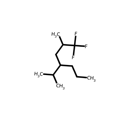 CCCC(CC(C)C(F)(F)F)C(C)C